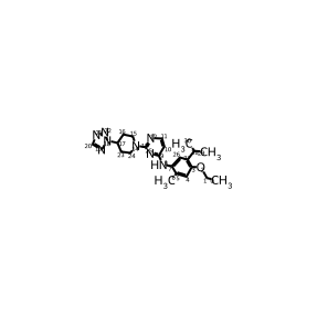 CCOc1cc(C)c(Nc2ccnc(N3CCC(n4ncnn4)CC3)n2)cc1C(C)C